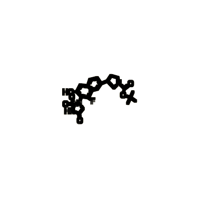 CC(C)(C)OC(=O)N1CCC(c2ccc3cc(O)c(N4CC(=O)NS4(=O)=O)c(F)c3c2)C1